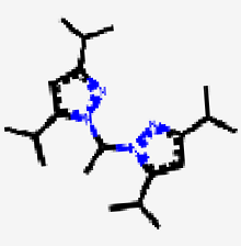 CC(C)c1cc(C(C)C)n(C(C)n2nc(C(C)C)cc2C(C)C)n1